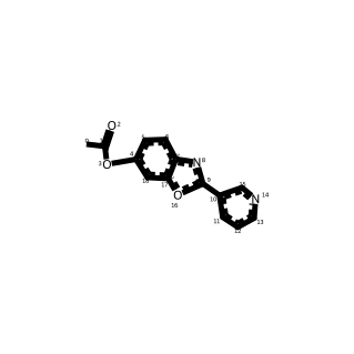 CC(=O)Oc1ccc2nc(-c3cccnc3)oc2c1